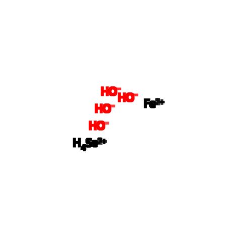 [Fe+2].[OH-].[OH-].[OH-].[OH-].[SeH4+2]